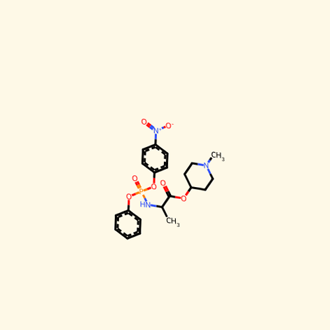 CC(NP(=O)(Oc1ccccc1)Oc1ccc([N+](=O)[O-])cc1)C(=O)OC1CCN(C)CC1